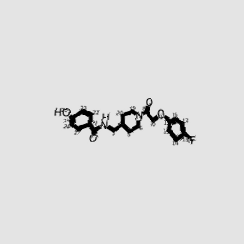 O=C(NCC1CCN(C(=O)COc2ccc(F)cc2)CC1)c1ccc(O)cc1